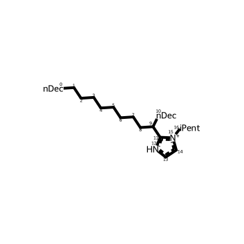 CCCCCCCCCCCCCCCCCCC(CCCCCCCCCC)c1[nH]cc[n+]1C(C)CCC